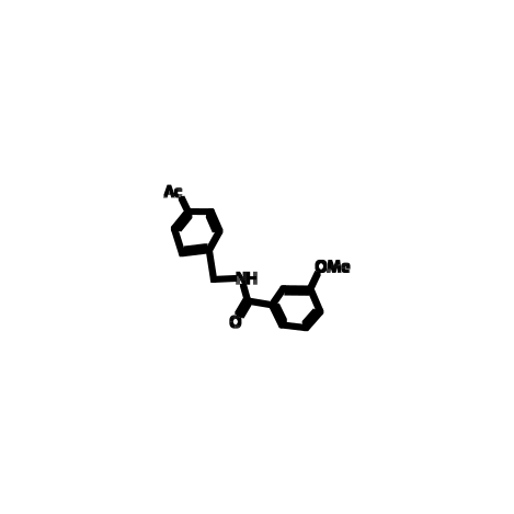 COc1cccc(C(=O)NCc2ccc(C(C)=O)cc2)c1